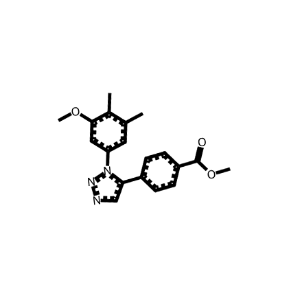 COC(=O)c1ccc(-c2cnnn2-c2cc(C)c(C)c(OC)c2)cc1